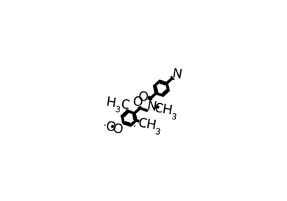 Cc1[c]c(O[O])cc(C)c1C(=O)CN(C)C(=O)c1ccc(C#N)cc1